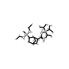 CCO[Si](C)(OCC)C1CC2CC(C(=O)O[Si](C(C)C)(C(C)C)C(C)C)C1C2